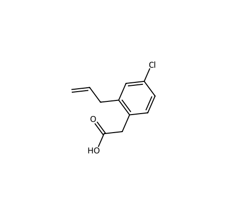 C=CCc1cc(Cl)ccc1CC(=O)O